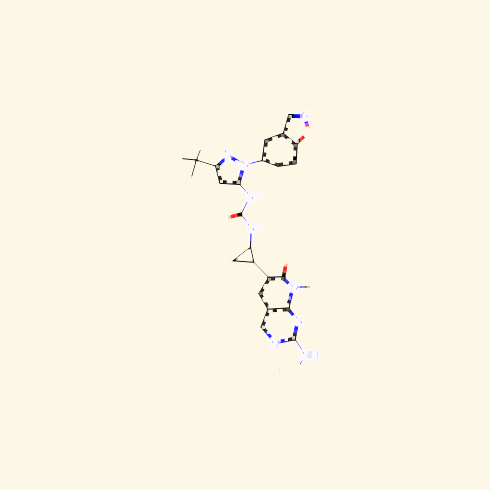 CNc1ncc2cc(C3CC3NC(=O)Nc3cc(C(C)(C)C)nn3-c3ccc4oncc4c3)c(=O)n(C)c2n1